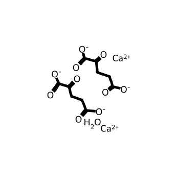 O.O=C([O-])CCC(=O)C(=O)[O-].O=C([O-])CCC(=O)C(=O)[O-].[Ca+2].[Ca+2]